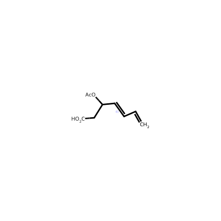 C=C/C=C/C(CC(=O)O)OC(C)=O